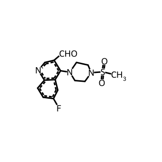 CS(=O)(=O)N1CCN(c2c(C=O)cnc3ccc(F)cc23)CC1